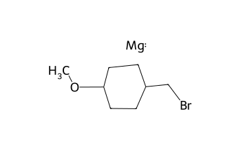 COC1CCC(CBr)CC1.[Mg]